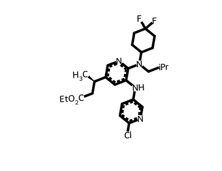 CCOC(=O)C[C@@H](C)c1cnc(N(CC(C)C)C2CCC(F)(F)CC2)c(Nc2ccc(Cl)nc2)c1